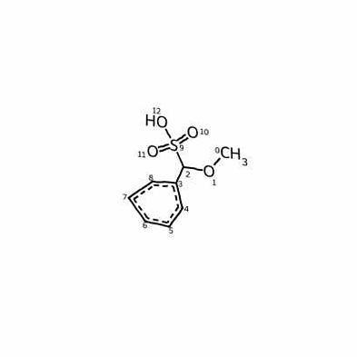 COC(c1ccccc1)S(=O)(=O)O